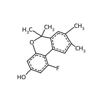 Cc1cc2c(cc1C)C(C)(C)Oc1cc(O)cc(F)c1-2